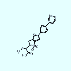 CCC(C(=O)O)N1Cc2sc(-c3ccc(-c4cccnc4)cc3)cc2S1(=O)=O